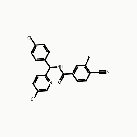 N#Cc1ccc(C(=O)NC(c2ccc(Cl)cc2)c2ccc(Cl)cn2)cc1F